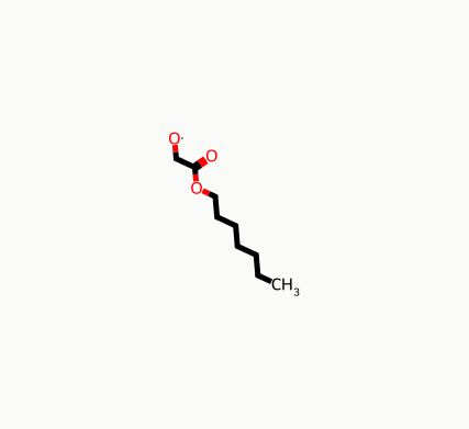 CCCCCCCOC(=O)C[O]